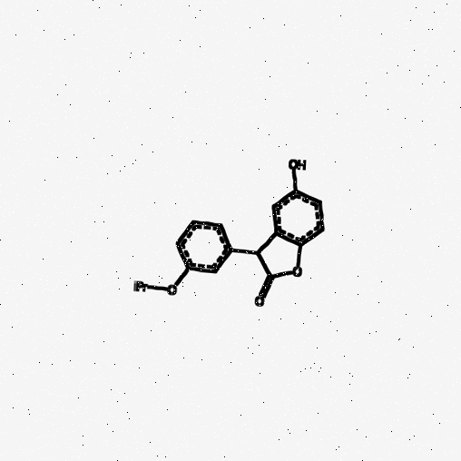 CC(C)Oc1cccc(C2C(=O)Oc3ccc(O)cc32)c1